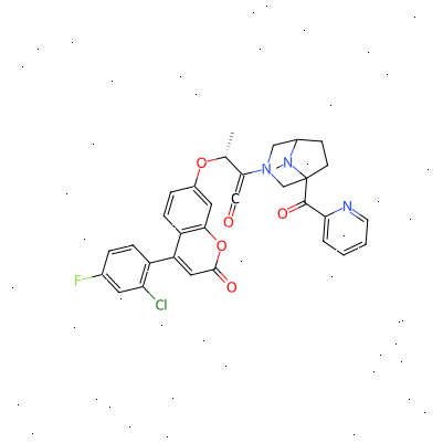 C[C@@H](Oc1ccc2c(-c3ccc(F)cc3Cl)cc(=O)oc2c1)C(=C=O)N1CC2CCC(C(=O)c3ccccn3)(C1)N2C